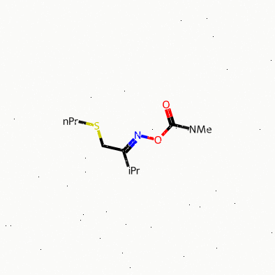 CCCSCC(=NOC(=O)NC)C(C)C